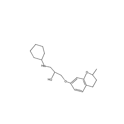 CC1CCc2ccc(OCC(O)CNC3CCCCC3)cc2O1